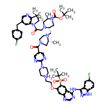 C[C@@H]1CN(C(=O)c2cnc(N3CCN(CCOc4cc5ncnc(Nc6n[nH]c7ccc(F)cc67)c5cc4S(=O)(=O)C(C)(C)C)CC3)nc2)CCN1C[C@H]1CN(C(=O)OC(C)(C)C)[C@H](C)CN1CC(=O)N1CC(C)(C)c2ncc(Cc3ccc(F)cc3)cc21